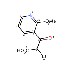 CCC(C(=O)O)C(=O)c1cccnc1OC